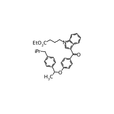 CCOC(=O)CCCn1cc(C(=O)c2ccc(OC(C)c3ccc(CC(C)C)cc3)cc2)c2ccccc21